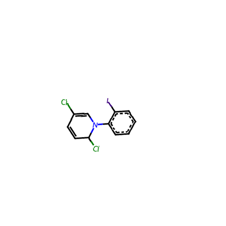 ClC1=CN(c2ccccc2I)C(Cl)C=C1